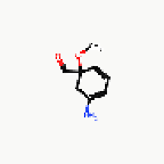 COC1(C=O)C=CC=C(N)C1